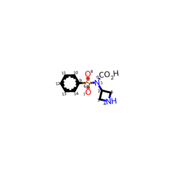 O=C(O)N(C1CNC1)S(=O)(=O)c1ccccc1